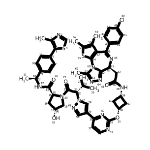 Cc1ncsc1-c1ccc([C@H](C)NC(=O)[C@@H]2C[C@@H](O)CN2C(=O)[C@H](C(C)C)n2cc(-c3ccnc(O[C@H]4C[C@@H](NC(=O)C[C@@H]5N=C(c6ccc(Cl)cc6)c6c(sc(C)c6C)-n6c(C)nnc65)C4)n3)cn2)cc1